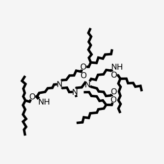 CCCCCCCCC(CCCCCC)COC(=N)CCCCCN(CCCCCC(=O)OCC(CCCCCC)CCCCCCCC)CCCN(C)CCCN(CCCCCC(=N)OCC(CCCCCC)CCCCCCCC)CCCCCC(=O)OCC(CCCCCC)CCCCCCCC